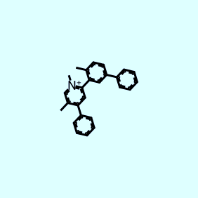 Cc1c[n+](C)c(-c2cc(-c3ccccc3)ccc2C)cc1-c1ccccc1